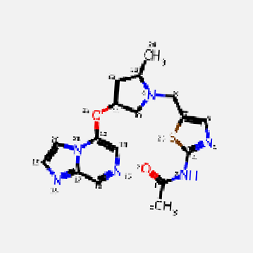 CC(=O)Nc1ncc(CN2CC(Oc3cncc4nccn34)CC2C)s1